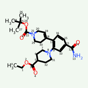 CCOC(=O)C1CCN(c2cc(C(N)=O)ccc2C2=CCN(C(=O)OC(C)(C)C)CC2)CC1